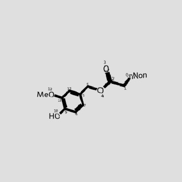 CCCCCCCCCCC(=O)OCc1ccc(O)c(OC)c1